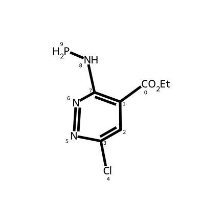 CCOC(=O)c1cc(Cl)nnc1NP